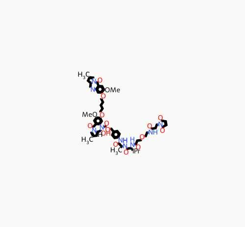 COc1cc2c(cc1OCCCCCOc1cc3c(cc1OC)C(=O)N1C=C(C)C[C@H]1C(O)N3C(=O)OCc1ccc(NC(=O)[C@H](C)NC(=O)C(NC(=O)CCOCCNC(=O)CCN3C(=O)C=CC3=O)C(C)C)cc1)N=CC1CC(C)=CN1C2=O